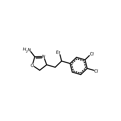 CCC(CC1COC(N)=N1)c1ccc(Cl)c(Cl)c1